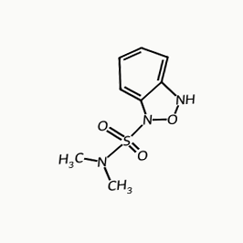 CN(C)S(=O)(=O)N1ONc2ccccc21